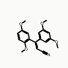 COc1cc(OC)cc(/C(=C\C#N)c2cc(OC)ccc2OC)c1